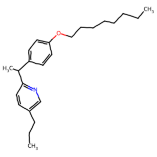 CCCCCCCCOc1ccc(C(C)c2ccc(CCC)cn2)cc1